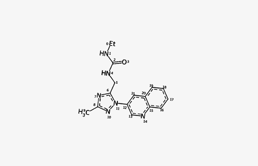 CCNC(=O)NCc1nc(C)nn1-c1cnc2ccccc2c1